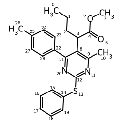 CCCC(C(=O)OC)c1c(C)nc(Sc2ccccc2)nc1-c1ccc(C)cc1